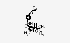 Cc1cc(C(=O)NCc2ccc(COCC(F)(F)I)cc2)cc(NC(=O)C(C)C)n1